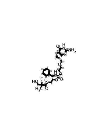 CC(C)(CO)C(=O)SCCOP(=O)(NCc1ccccc1)OCCOCn1cnc2c(=O)[nH]c(N)nc21